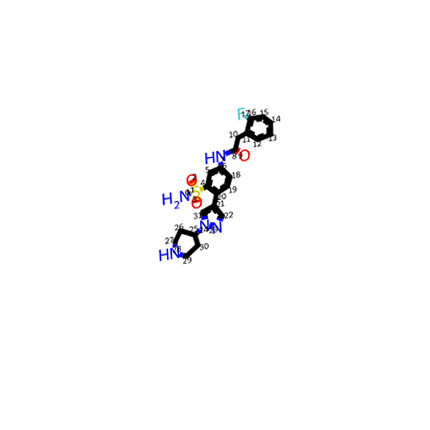 NS(=O)(=O)c1cc(NC(=O)Cc2ccccc2F)ccc1-c1cnn(C2CCNCC2)c1